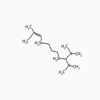 CC(C)=C[SiH2]CCC[SiH2]C(N(C)C)N(C)C